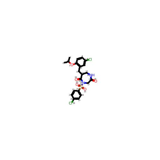 CC(C)Oc1ccc(Cl)cc1CC1CNC(=O)CN(S(=O)(=O)c2ccc(Cl)cc2)C1=O